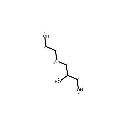 OCCO[CH]C(O)CO